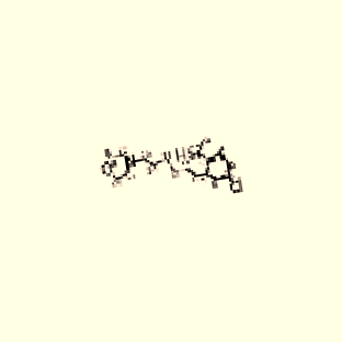 C[SiH](C)c1ccc(Cl)cc1CCCCCCN1CCOCC1